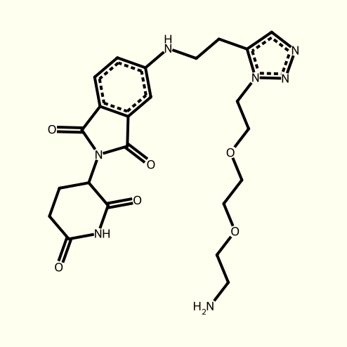 NCCOCCOCCn1nncc1CCNc1ccc2c(c1)C(=O)N(C1CCC(=O)NC1=O)C2=O